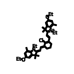 CCOc1cc(C)c2c(c1)C(C)(C)C(/C=C/C1=C(Cl)C(=C/C=C3\N(CC)c4c(C)cc(OCC)cc4C3(C)C)/CCC1)=[N+]2CC